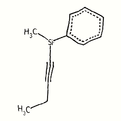 CCC#C[Si](C)c1ccccc1